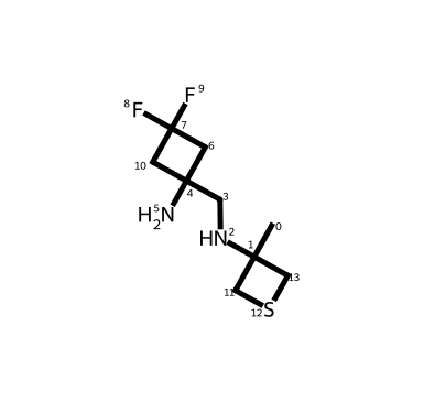 CC1(NCC2(N)CC(F)(F)C2)CSC1